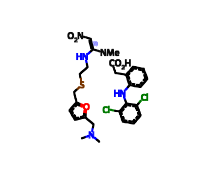 CN/C(=C/[N+](=O)[O-])NCCSCc1ccc(CN(C)C)o1.O=C(O)Cc1ccccc1Nc1c(Cl)cccc1Cl